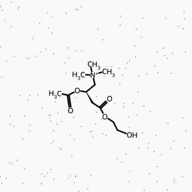 CC(=O)O[C@H](CC(=O)OCCO)C[N+](C)(C)C